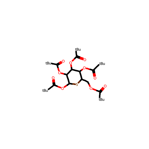 CC(C)(C)C(=O)OCC1SC(OC(=O)C(C)(C)C)C(OC(=O)C(C)(C)C)C(OC(=O)C(C)(C)C)C1OC(=O)C(C)(C)C